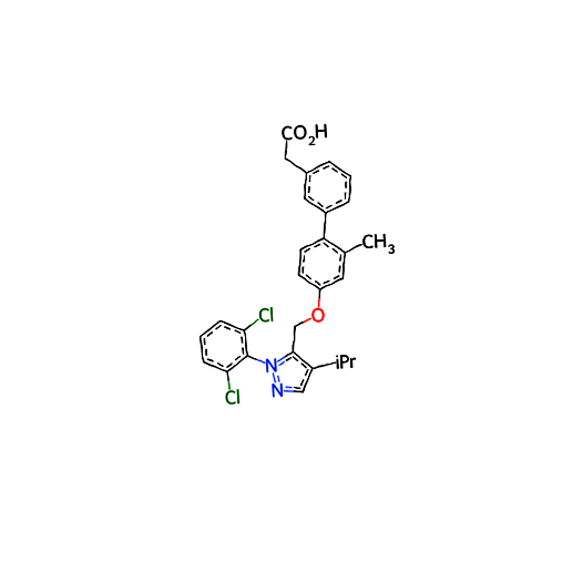 Cc1cc(OCc2c(C(C)C)cnn2-c2c(Cl)cccc2Cl)ccc1-c1cccc(CC(=O)O)c1